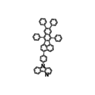 c1ccc(-c2cc3c(-c4ccccc4)c4c(c(-c5ccccc5)c3cc2-c2ccccc2)-c2ccc(-c3ccc(-n5c6ccccc6c6ncccc65)cc3)c3cccc-4c23)cc1